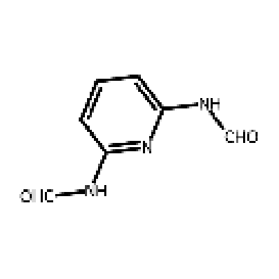 O=CNc1cccc(NC=O)n1